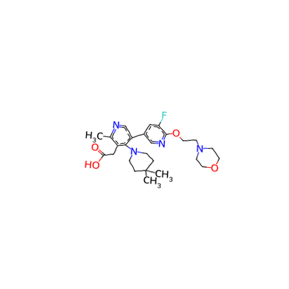 Cc1ncc(-c2cnc(OCCN3CCOCC3)c(F)c2)c(N2CCC(C)(C)CC2)c1CC(=O)O